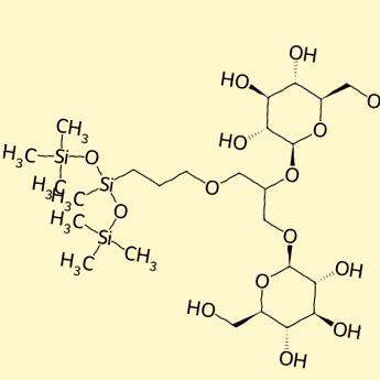 C[Si](C)(C)O[Si](C)(CCCOCC(CO[C@@H]1O[C@H](CO)[C@@H](O)[C@H](O)[C@H]1O)O[C@@H]1O[C@H](CO)[C@@H](O)[C@H](O)[C@H]1O)O[Si](C)(C)C